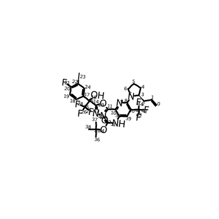 C=CC[C@@H]1CCCN1c1nc(-c2nnc(C(O)(c3ccc(F)c(I)c3)C(F)(F)F)o2)c(NC(=O)OC(C)(C)C)cc1C(F)(F)F